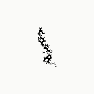 Nc1nccc2c1CC[C@H]2NC(=O)c1cn(Cc2ccc(N3CC4CC4C3)nc2)nn1